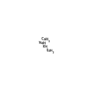 [BaH2].[CaH2].[KH].[NaH]